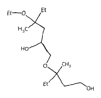 CCOC(C)(CC)CC(O)COC(C)(CC)CCO